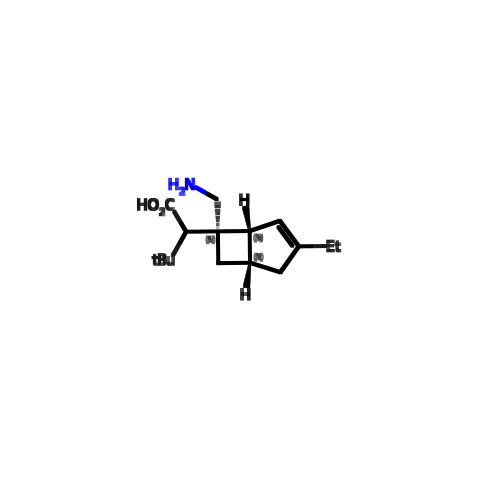 CCC1=C[C@@H]2[C@H](C1)C[C@@]2(CN)C(C(=O)O)C(C)(C)C